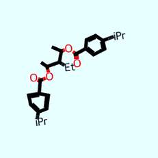 CCC(C(C)OC(=O)c1ccc(C(C)C)cc1)C(C)OC(=O)c1ccc(C(C)C)cc1